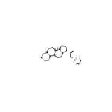 C=C(Cn1nccn1)[C@H]1CC[C@H]2[C@@H]3CC[C@H]4C[C@@](C)(O)CC[C@@H]4[C@H]3CC[C@]12C